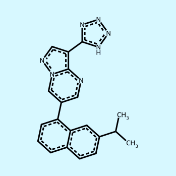 CC(C)c1ccc2cccc(-c3cnc4c(-c5nnn[nH]5)cnn4c3)c2c1